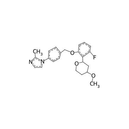 COC1CCOC(c2c(F)cccc2OCc2ccc(-n3ccnc3C)cc2)C1